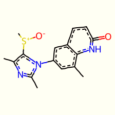 Cc1nc(C)n(-c2cc(C)c3[nH]c(=O)ccc3c2)c1[S+](C)[O-]